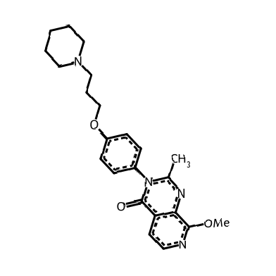 COc1nccc2c(=O)n(-c3ccc(OCCCN4CCCCC4)cc3)c(C)nc12